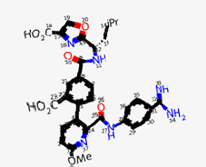 COc1ccc(-c2ccc(C(=O)N[C@@H](CC(C)C)c3nc(C(=O)O)co3)cc2C(=O)O)c(C(=O)Nc2ccc(C(=N)N)cc2)n1